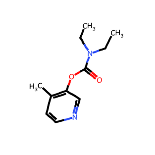 CCN(CC)C(=O)Oc1cnccc1C